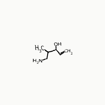 C=CC(O)C(C)CN